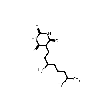 CC(C)CCCC(C)CCC1C(=O)NC(=O)NC1=O